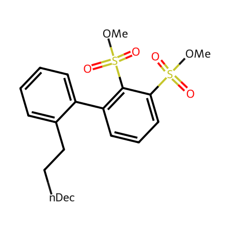 CCCCCCCCCCCCc1ccccc1-c1cccc(S(=O)(=O)OC)c1S(=O)(=O)OC